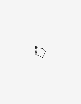 B1=CCCC1